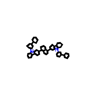 C1=CCC(c2cccc(-n3c4ccccc4c4ccc(-c5cccc6c(-c7ccc8c9c(n(-c%10cccc(-c%11ccccc%11)c%10)c8c7)CCC=C9)cccc56)cc43)c2)C=C1